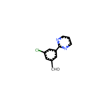 O=Cc1cc(Cl)cc(-c2ncccn2)c1